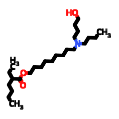 CCCCC(CC)C(=O)OCCCCCCCCCN(CCCC)CCCCO